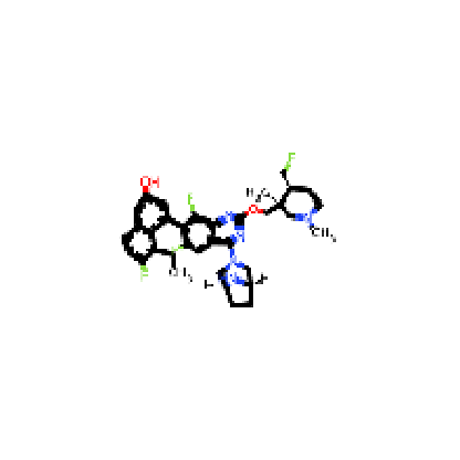 CCc1c(F)ccc2cc(O)cc(-c3c(F)cc4c(N5C[C@H]6CC[C@@H](C5)N6)nc(OC[C@]5(C)CN(C)CC[C@@H]5CF)nc4c3F)c12